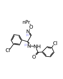 CCCO/N=C/C(=N\NC(=O)c1cccc(Cl)c1)c1cccc(Cl)c1